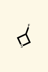 FC1CSC1